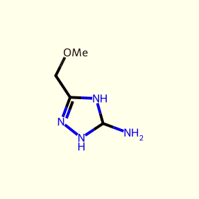 COCC1=NNC(N)N1